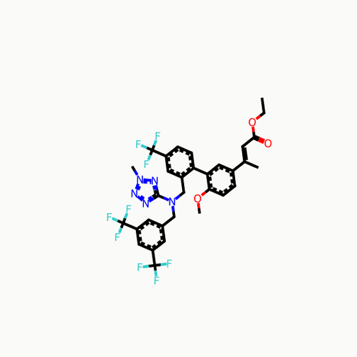 CCOC(=O)C=C(C)c1ccc(OC)c(-c2ccc(C(F)(F)F)cc2CN(Cc2cc(C(F)(F)F)cc(C(F)(F)F)c2)c2nnn(C)n2)c1